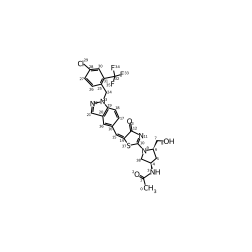 CC(=O)N[C@@H]1C[C@H](CO)N(C2=NC(=O)/C(=C\c3ccc4c(cnn4Cc4ccc(Cl)cc4C(F)(F)F)c3)S2)C1